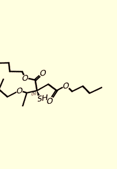 CCCCOC(=O)C[C@@](S)(C(=O)OCCCC)C(C)OCC(C)C